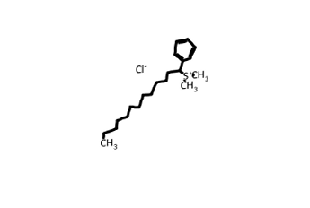 CCCCCCCCCCCCC(c1ccccc1)[S+](C)C.[Cl-]